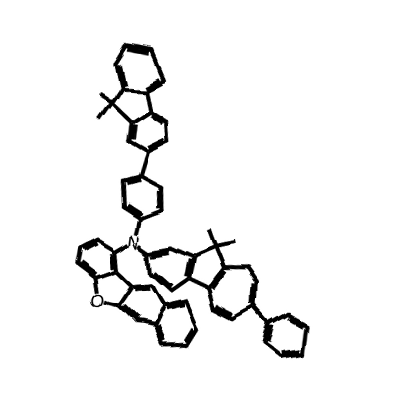 CC1(C)C2=C(C=CC(c3ccccc3)=CC2)c2ccc(N(c3ccc(-c4ccc5c(c4)C(C)(C)c4ccccc4-5)cc3)c3cccc4oc5cc6ccccc6cc5c34)cc21